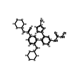 CCNC(=O)Nc1cc(-c2nc(C(F)(F)F)cs2)c(-c2cc(C(=O)OC3CCCCC3)cnc2OC2CCCCC2)cn1